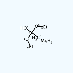 CCOC(C)(O)OCC.[MgH2]